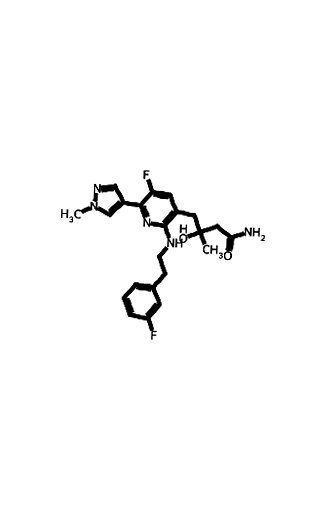 Cn1cc(-c2nc(NCCc3cccc(F)c3)c(CC(C)(O)CC(N)=O)cc2F)cn1